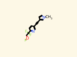 Cn1ccc(C#Cc2ccc(C(F)(F)COF)nc2)c1